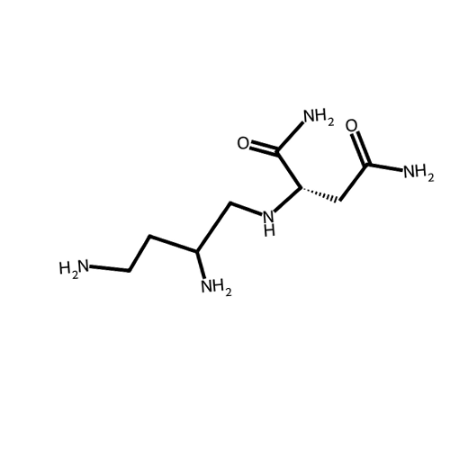 NCCC(N)CN[C@@H](CC(N)=O)C(N)=O